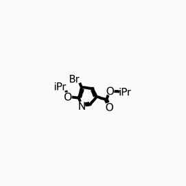 CC(C)OC(=O)c1cnc(OC(C)C)c(Br)c1